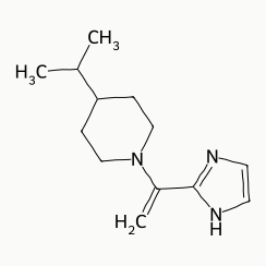 C=C(c1ncc[nH]1)N1CCC(C(C)C)CC1